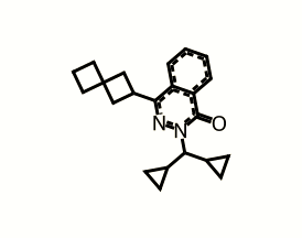 O=c1c2ccccc2c(C2CC3(CCC3)C2)nn1C(C1CC1)C1CC1